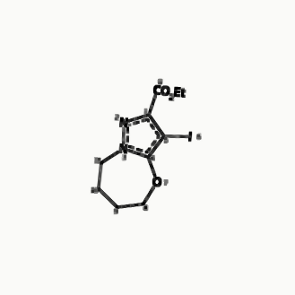 CCOC(=O)c1nn2c(c1I)OCCCC2